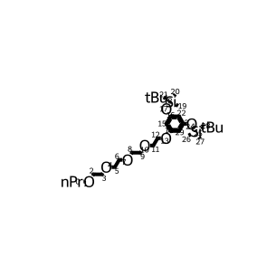 CCCOCCOCCOCCOCCOc1cc(O[Si](C)(C)C(C)(C)C)cc(O[Si](C)(C)C(C)(C)C)c1